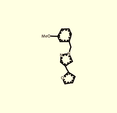 COc1cccc(Cn2cc(-c3ccco3)cn2)c1